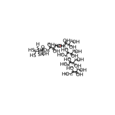 O=C(O)C(S)(S)C(S)S.OC[C@@H](O)[C@@H](O)CO.OC[C@@H](O)[C@@H](O)CO.OC[C@@H](O)[C@@H](O)CO.OC[C@@H](O)[C@@H](O)CO.OC[C@@H](O)[C@@H](O)CO